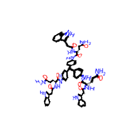 NC(=O)CC[C@H](NC(=O)Cc1c[nH]c2ccccc12)C(=O)Nc1ccc(C(c2ccc(NC(=O)[C@H](CCC(N)=O)NC(=O)Cc3c[nH]c4ccccc34)cc2)c2ccc(NC(=O)[C@H](CCC(N)=O)NC(=O)Cc3c[nH]c4ccccc34)cc2)cc1